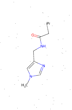 CC(C)CC(=O)NCc1cn(C)cn1